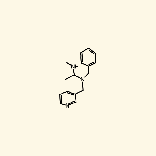 CNC(C)N(Cc1ccccc1)Cc1cccnc1